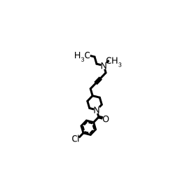 CCCN(C)CC#CCC1CCN(C(=O)c2ccc(Cl)cc2)CC1